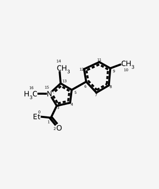 CCC(=O)c1cc(-c2ccc(C)cc2)c(C)n1C